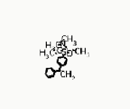 C=C(c1ccccc1)c1ccc([Si](CN(C)C)(OCC)OCC)cc1